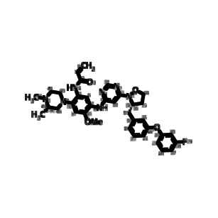 C=CC(=O)Nc1cc(Nc2cc(N3OCC[C@@H]3Cc3cccc(Oc4cccc(F)c4)c3)ncn2)c(OC)cc1N1CCN(C)[C@H](C)C1